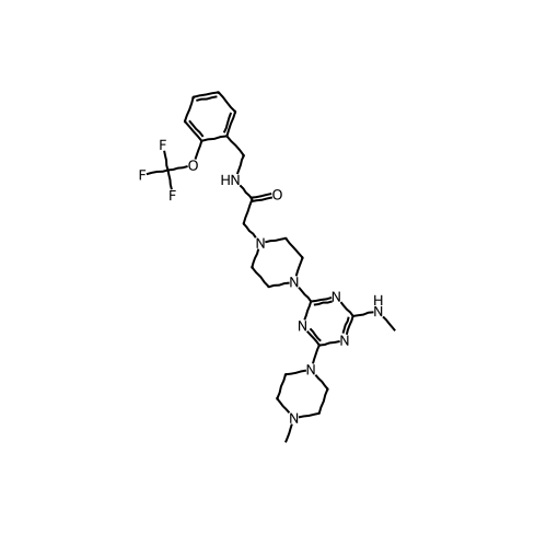 CNc1nc(N2CCN(C)CC2)nc(N2CCN(CC(=O)NCc3ccccc3OC(F)(F)F)CC2)n1